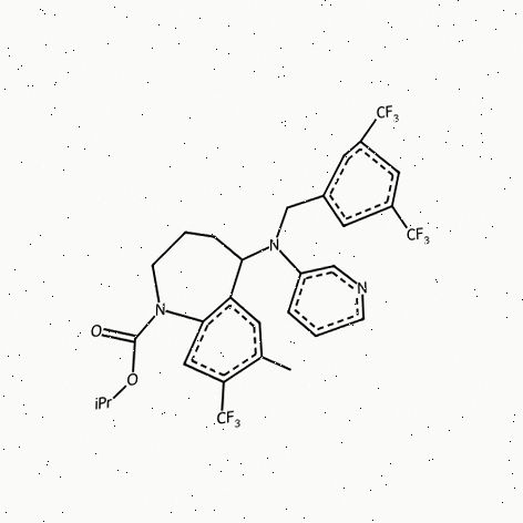 Cc1cc2c(cc1C(F)(F)F)N(C(=O)OC(C)C)CCCC2N(Cc1cc(C(F)(F)F)cc(C(F)(F)F)c1)c1cccnc1